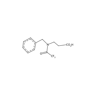 O=C(O)CCN(Cc1ccccc1)C(=O)C(F)(F)F